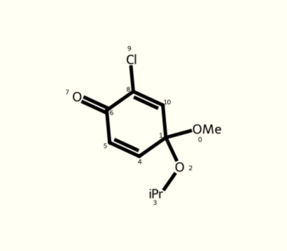 COC1(OC(C)C)C=CC(=O)C(Cl)=C1